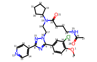 COc1ccc(-c2nc(-c3ccncc3)nn2CCN(C(=O)CCCNC(C)=O)C2CCCC2)cc1Cl